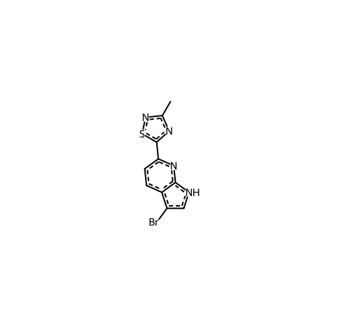 Cc1nsc(-c2ccc3c(Br)c[nH]c3n2)n1